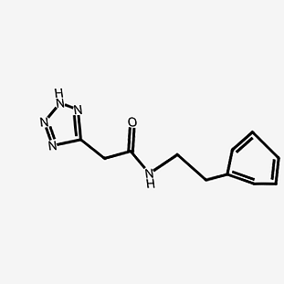 O=C(Cc1nn[nH]n1)NCCc1ccccc1